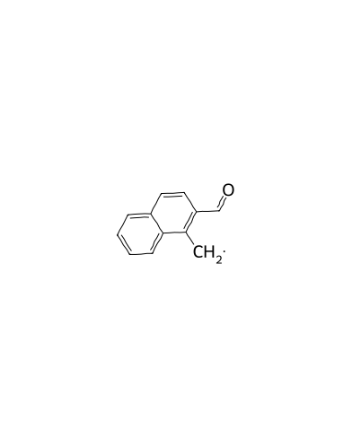 [CH2]c1c(C=O)ccc2ccccc12